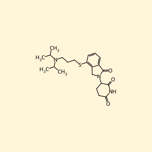 CC(C)N(CCCSc1cccc2c1CN(C1CCC(=O)NC1=O)C2=O)C(C)C